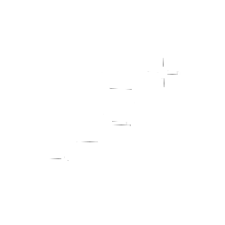 CCN(C)CCc1cc(C)c(OS(=O)(=O)C(F)(F)F)cc1C